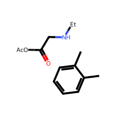 CCNCC(=O)OC(C)=O.Cc1ccccc1C